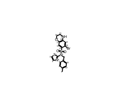 Cc1ccc(CN(c2nccs2)S(=O)(=O)c2cc3c(cc2Br)NCCO3)cc1